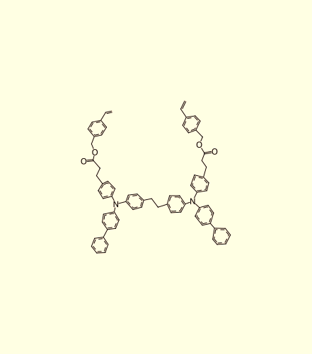 C=Cc1ccc(COC(=O)CCc2ccc(N(c3ccc(CCc4ccc(N(c5ccc(CCC(=O)OCc6ccc(C=C)cc6)cc5)c5ccc(-c6ccccc6)cc5)cc4)cc3)c3ccc(-c4ccccc4)cc3)cc2)cc1